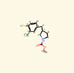 CC(C)(C)OC(=O)N1CCC(Cc2ccc(F)c(Cl)c2)C1